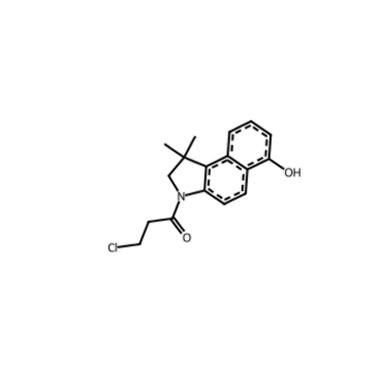 CC1(C)CN(C(=O)CCCl)c2ccc3c(O)cccc3c21